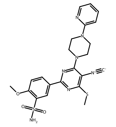 [C-]#[N+]c1c(SC)nc(-c2ccc(OC)c(S(N)(=O)=O)c2)nc1N1CCN(c2ccccn2)CC1